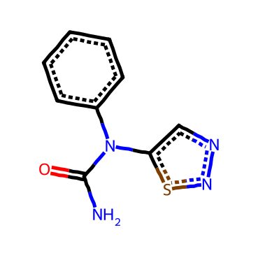 NC(=O)N(c1ccccc1)c1cnns1